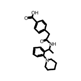 CC(NC(=O)Cc1ccc(C(=O)O)cc1)c1ccccc1N1CCCCC1